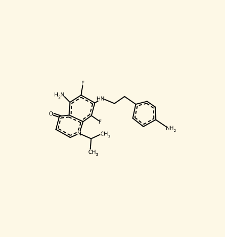 CC(C)n1ccc(=O)c2c(N)c(F)c(NCCc3ccc(N)cc3)c(F)c21